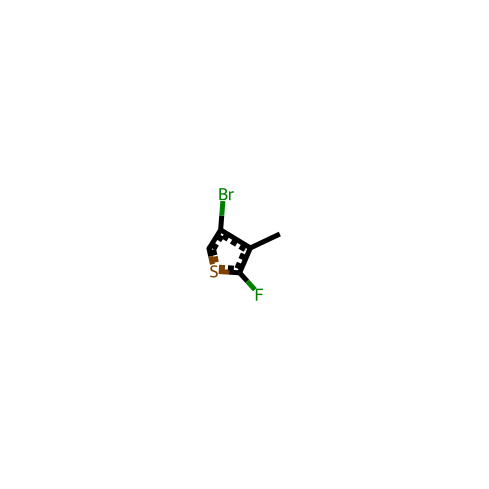 Cc1c(Br)csc1F